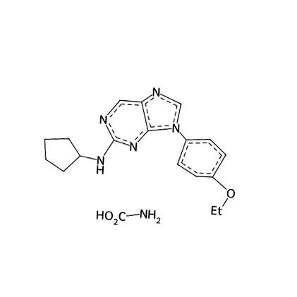 CCOc1ccc(-n2cnc3cnc(NC4CCCC4)nc32)cc1.NC(=O)O